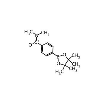 CN(C)[S+]([O-])c1ccc(B2OC(C)(C)C(C)(C)O2)cc1